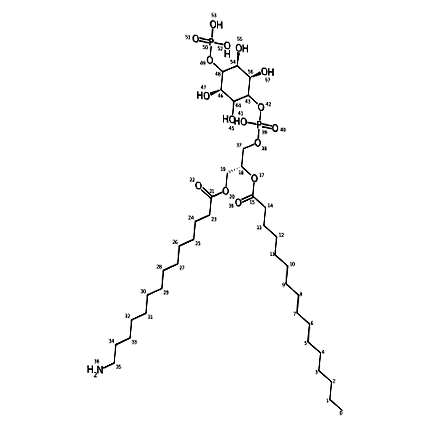 CCCCCCCCCCCCCCCC(=O)O[C@H](COC(=O)CCCCCCCCCCCCCN)COP(=O)(O)OC1C(O)[C@@H](O)C(OP(=O)(O)O)[C@@H](O)[C@H]1O